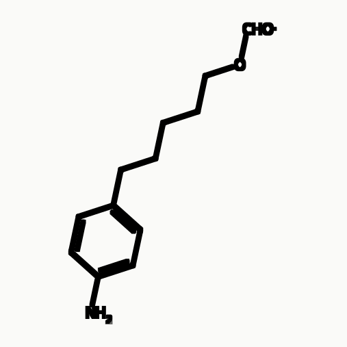 Nc1ccc(CCCCCO[C]=O)cc1